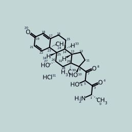 C[C@H](N)C(=O)C(O)C(=O)[C@@]1(O)CC[C@H]2[C@@H]3CCC4=CC(=O)C=C[C@]4(C)[C@H]3[C@@H](O)C[C@@]21C.Cl